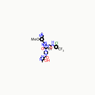 CCc1c(N2CCN(C(=O)c3ncnc(C)c3O)CC2)c(=O)n2nc(-c3cc(OC)c4nn(C)cc4c3)nc2n1CC(=O)Nc1ccc(C(F)(F)F)cc1Cl